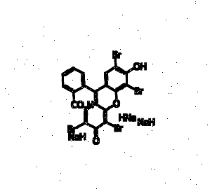 O=C(O)c1ccccc1-c1c2cc(Br)c(=O)c(Br)c-2oc2c(Br)c(O)c(Br)cc12.[NaH].[NaH].[NaH]